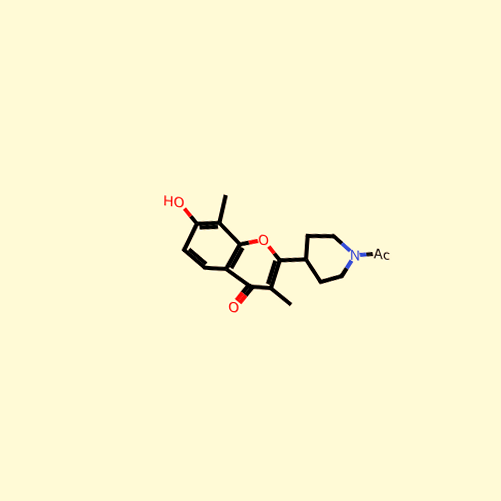 CC(=O)N1CCC(c2oc3c(C)c(O)ccc3c(=O)c2C)CC1